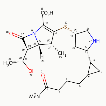 CNC(=O)CCCC1CC1[C@@H]1C[C@H](SC2=C(C(=O)O)N3C(=O)[C@H]([C@@H](C)O)[C@H]3[C@H]2C)CN1